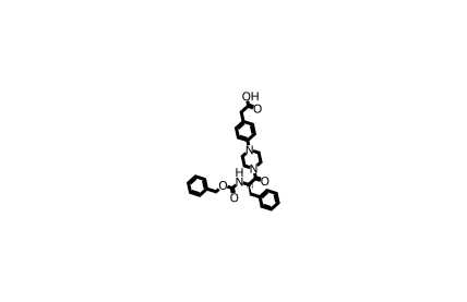 O=C(O)Cc1ccc(N2CCN(C(=O)[C@@H](Cc3ccccc3)NC(=O)OCc3ccccc3)CC2)cc1